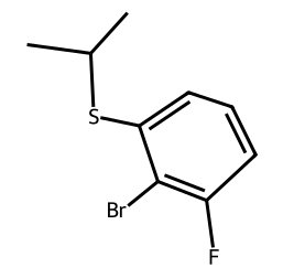 CC(C)Sc1cccc(F)c1Br